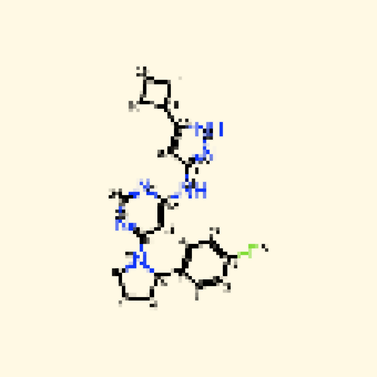 Fc1ccc(C2CCCN2c2cc(Nc3cc(C4CCC4)[nH]n3)ncn2)cc1